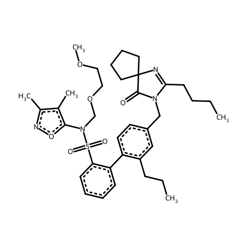 CCCCC1=NC2(CCCC2)C(=O)N1Cc1ccc(-c2ccccc2S(=O)(=O)N(COCCOC)c2onc(C)c2C)c(CCC)c1